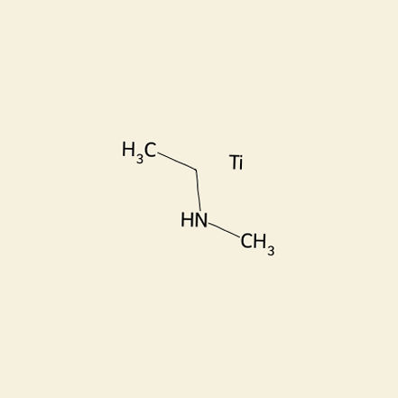 CCNC.[Ti]